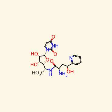 N[C@H](C[C@H](O)c1ccccn1)C(=O)N[C@H](C(=O)O)[C@H]1O[C@@H](n2ccc(=O)[nH]c2=O)[C@@H](O)[C@H]1O